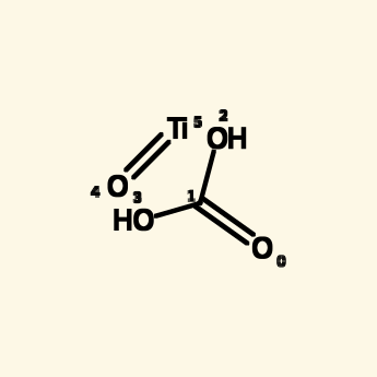 O=C(O)O.[O]=[Ti]